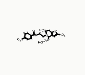 CC1Cc2sc([N+](=O)[O-])cc2C(C)N1CCNC(=O)c1ccc([N+](=O)[O-])cc1.Cl